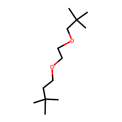 CC(C)(C)CCOCCOCC(C)(C)C